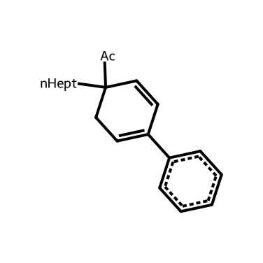 CCCCCCCC1(C(C)=O)C=CC(c2ccccc2)=CC1